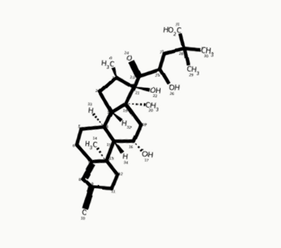 C[C@@H]1C[C@H]2[C@@H]3CCC4=CC(=O)CC[C@]4(C)[C@H]3[C@@H](O)C[C@]2(C)[C@@]1(O)C(=O)C(O)CC(C)(C)C(=O)O